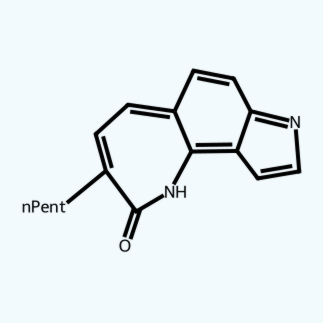 CCCCCc1ccc2ccc3nccc3c2[nH]c1=O